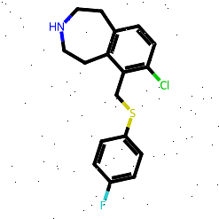 Fc1ccc(SCc2c(Cl)ccc3c2CCNCC3)cc1